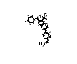 COc1ncc(-c2cnc3c(C(F)(F)F)c(C(=O)N4CCCCC4)sc3n2)cn1